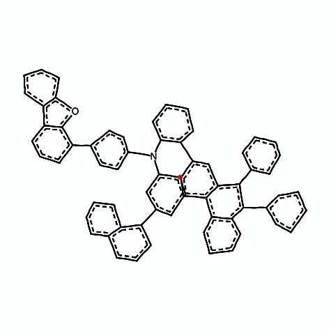 c1ccc(-c2c(-c3ccccc3)c3cc(-c4ccccc4N(c4ccc(-c5cccc6c5oc5ccccc56)cc4)c4cccc(-c5cccc6ccccc56)c4)ccc3c3ccccc23)cc1